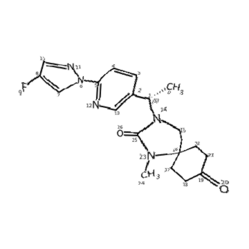 C[C@@H](c1ccc(-n2cc(F)cn2)nc1)N1CC2(CCC(=O)CC2)N(C)C1=O